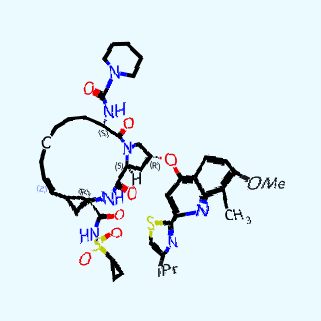 COc1ccc2c(O[C@@H]3C[C@H]4C(=O)N[C@]5(C(=O)NS(=O)(=O)C6CC6)CC5/C=C\CCCCC[C@H](NC(=O)N5CCCCC5)C(=O)N4C3)cc(-c3nc(C(C)C)cs3)nc2c1C